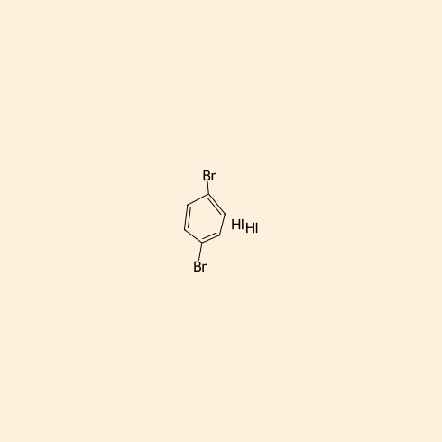 Brc1ccc(Br)cc1.I.I